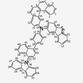 c1ccc2c(c1)ccc1ccc3ccc(N(c4ccc(-c5ccc(-n6c7ccccc7c7ccccc76)c6ccccc56)cc4)c4ccc5sc6ccccc6c5c4)cc3c12